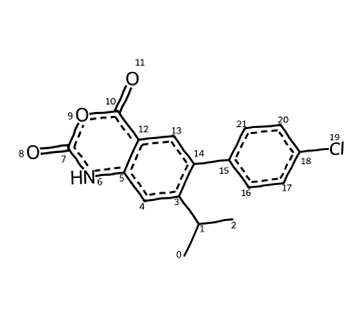 CC(C)c1cc2[nH]c(=O)oc(=O)c2cc1-c1ccc(Cl)cc1